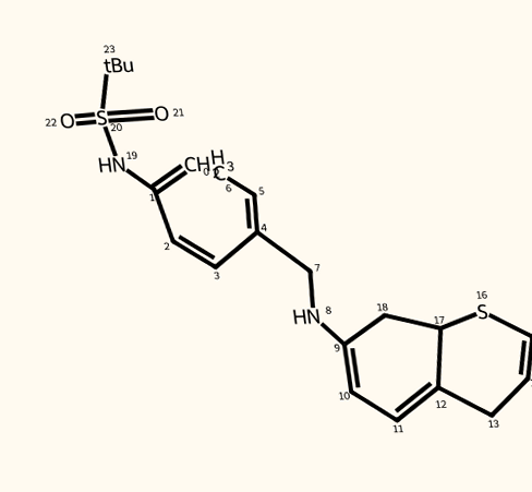 C=C(/C=C\C(=C/C)CNC1=CC=C2CC=CSC2C1)NS(=O)(=O)C(C)(C)C